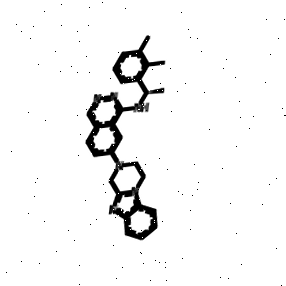 Cc1cccc([C@@H](C)Nc2nncc3ccc(N4CCn5c(nc6ccccc65)C4)cc23)c1C